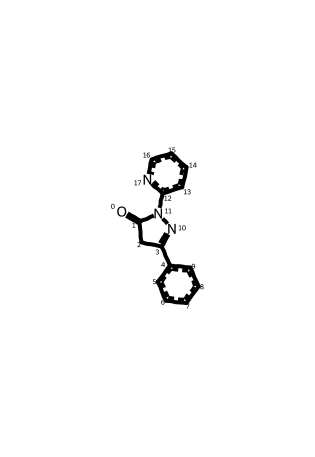 O=C1CC(c2ccccc2)=NN1c1ccccn1